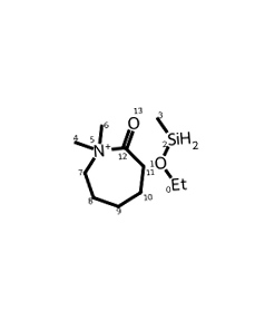 CCO[SiH2]C.C[N+]1(C)CCCCCC1=O